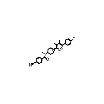 Cc1c(-c2ccc(F)cc2)nnc(N2CCC(N(C)C(=O)c3ccc(C#N)cc3)CC2)c1C